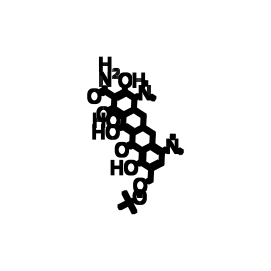 CN(C)c1cc(COOC(C)(C)C)c(O)c2c1CC1CC3C(N(C)C)C(O)=C(C(N)=O)C(=O)C3(O)C(O)=C1C2=O